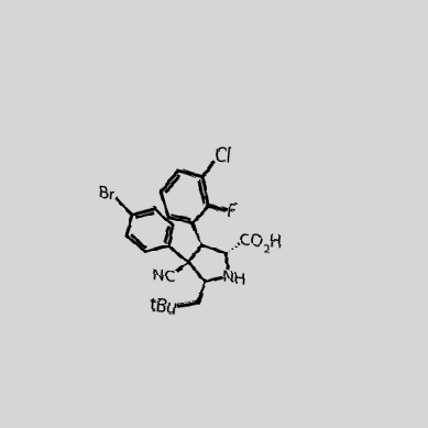 CC(C)(C)C[C@@H]1N[C@@H](C(=O)O)[C@H](c2cccc(Cl)c2F)[C@@]1(C#N)c1ccc(Br)cc1